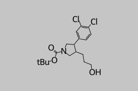 CC(C)(C)OC(=O)N1CC(CCCO)C(c2ccc(Cl)c(Cl)c2)C1